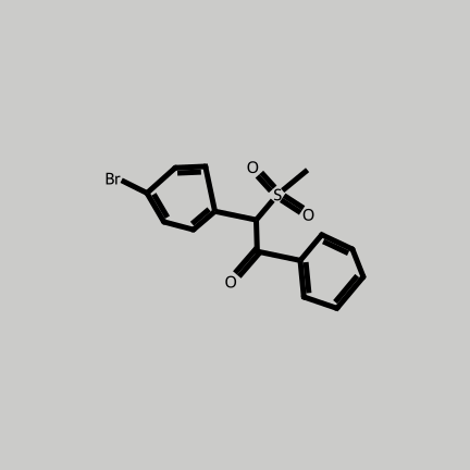 CS(=O)(=O)C(C(=O)c1ccccc1)c1ccc(Br)cc1